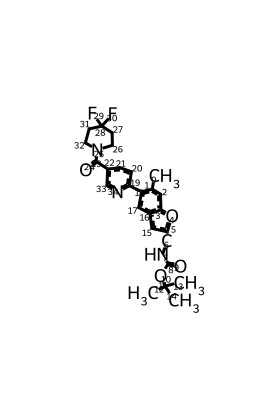 Cc1cc2oc(CNC(=O)OC(C)(C)C)cc2cc1-c1ccc(C(=O)N2CCC(F)(F)CC2)cn1